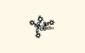 CC(C)(C)[C@@H]1OC(=O)[C@H](C[C@@H]2O[C@H](COCc3ccccc3)[C@@H](OCc3ccccc3)[C@@H]2OCc2ccccc2)N1C(=O)OCc1ccccc1